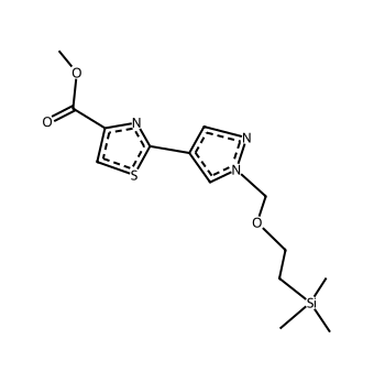 COC(=O)c1csc(-c2cnn(COCC[Si](C)(C)C)c2)n1